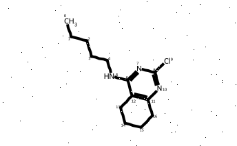 CCCCCNc1nc(Cl)nc2c1CCCC2